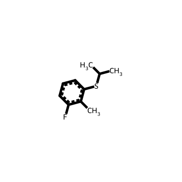 Cc1c(F)cccc1SC(C)C